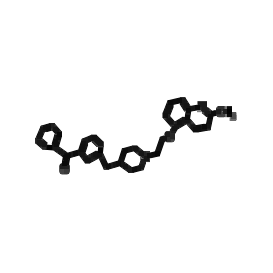 Cc1ccc2c(OCCN3CCC(Cc4cccc(C(=O)c5ccccc5)c4)CC3)cccc2n1